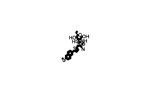 CC[C@H]1OC(O)[C@H](NS(=O)(=O)/C(C#N)=C/c2ccc(-c3ccc4cc(N(C)C)ccc4c3)s2)[C@@H](O)[C@@H]1O